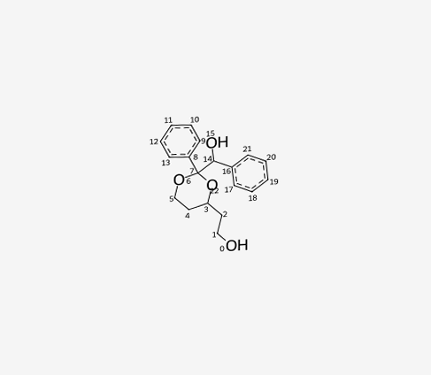 OCCC1CCOC(c2ccccc2)(C(O)c2ccccc2)O1